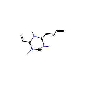 C=CC=CB1N(C)BN(C)B(C=C)N1C